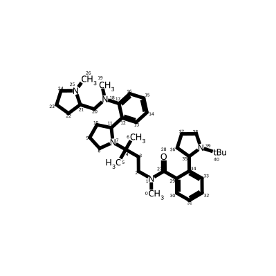 CN(CCC(C)(C)N1CCCC1c1ccccc1N(C)CC1CCCN1C)C(=O)c1ccccc1C1CCCN1C(C)(C)C